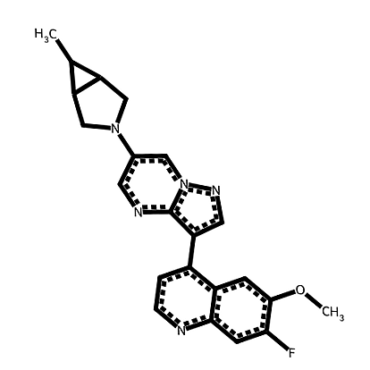 COc1cc2c(-c3cnn4cc(N5CC6C(C)C6C5)cnc34)ccnc2cc1F